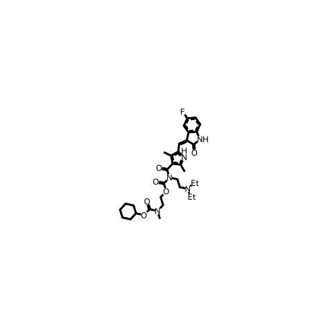 CCN(CC)CCN(C(=O)OCCN(C)C(=O)OC1CCCCC1)C(=O)c1c(C)[nH]c(/C=C2\C(=O)Nc3ccc(F)cc32)c1C